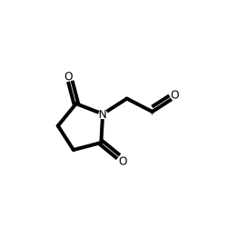 O=[C]CN1C(=O)CCC1=O